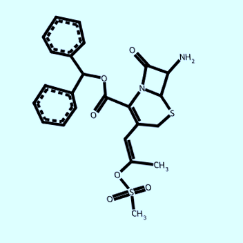 CC(=CC1=C(C(=O)OC(c2ccccc2)c2ccccc2)N2C(=O)C(N)C2SC1)OS(C)(=O)=O